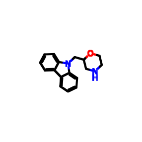 c1ccc2c(c1)c1ccccc1n2CC1CNCCO1